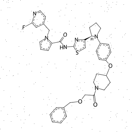 O=C(Nc1nc([C@H]2CCCN2c2ccc(OC3CCN(C(=O)COCc4ccccc4)CC3)cc2)cs1)c1cccn1Cc1ccnc(F)c1